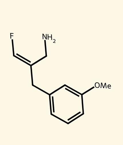 COc1cccc(CC(=CF)CN)c1